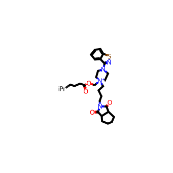 CC(C)CCCC(=O)OC[N+]1(CCCCN2C(=O)C3CCCCC3C2=O)CCN(c2nsc3ccccc23)CC1